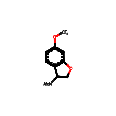 CNC1COc2cc(OC(F)(F)F)ccc21